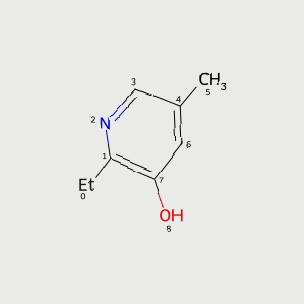 CCc1ncc(C)cc1O